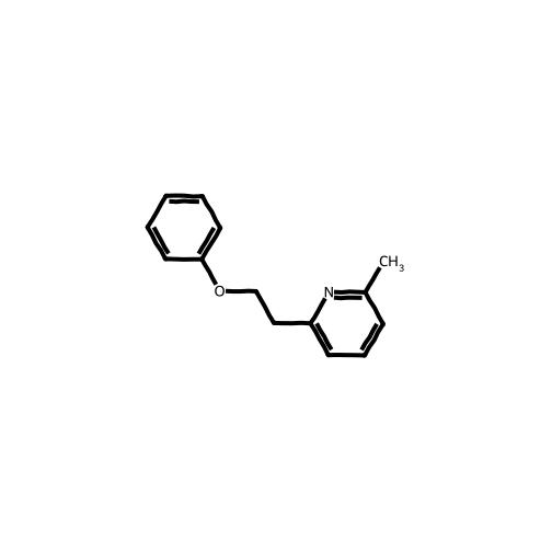 Cc1cccc(CCOc2ccccc2)n1